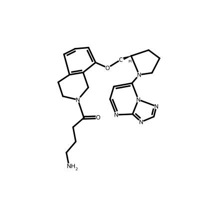 NCCCC(=O)N1CCc2cccc(OC[C@H]3CCCN3c3ccnc4ncnn34)c2C1